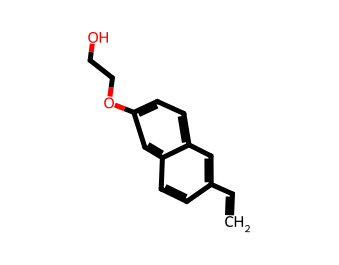 C=Cc1ccc2cc(OCCO)ccc2c1